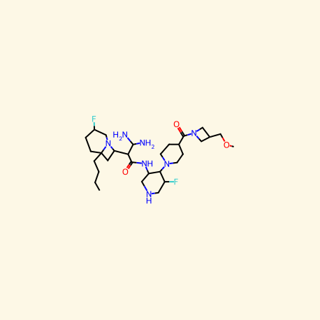 CCCCC12CCC(F)CN1C(C(C(=O)NC1CNCC(F)C1N1CCC(C(=O)N3CC(COC)C3)CC1)C(N)N)C2